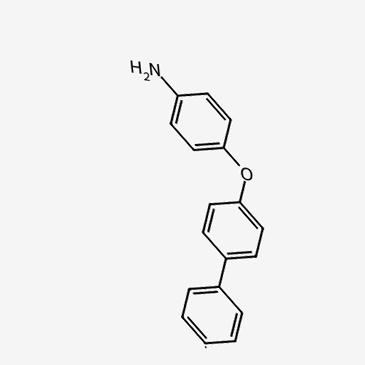 Nc1ccc(Oc2ccc(-c3cc[c]cc3)cc2)cc1